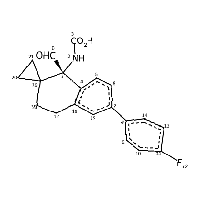 O=C[C@@]1(NC(=O)O)c2ccc(-c3ccc(F)cc3)cc2CCC12CC2